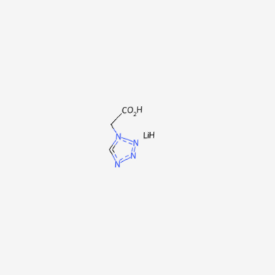 O=C(O)Cn1cnnn1.[LiH]